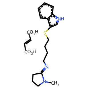 CN1CCC/C1=N\CCCCSc1c[nH]c2ccccc12.O=C(O)/C=C/C(=O)O